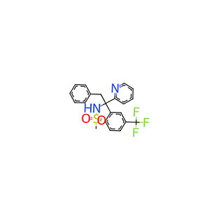 CS(=O)(=O)NC(Cc1ccccc1)(c1cccc(C(F)(F)F)c1)c1ccccn1